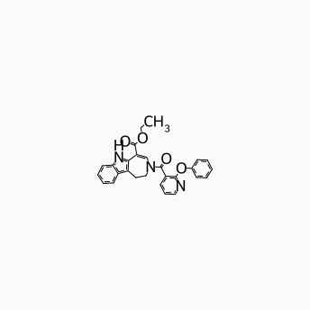 CCOC(=O)C1=CN(C(=O)c2cccnc2Oc2ccccc2)CCc2c1[nH]c1ccccc21